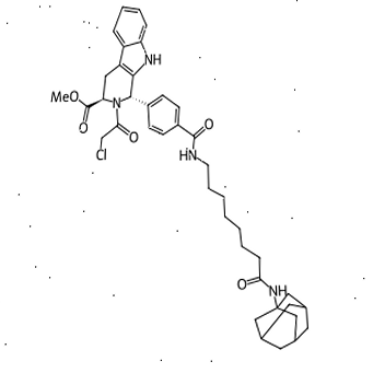 COC(=O)[C@H]1Cc2c([nH]c3ccccc23)[C@H](c2ccc(C(=O)NCCCCCCCC(=O)NC34CC5CC(CC(C5)C3)C4)cc2)N1C(=O)CCl